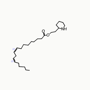 CCCCC/C=C\C/C=C\CCCCCCCC(=O)OCCC1CCCCN1